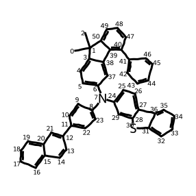 CC1(C)c2ccc(N(c3ccc(-c4ccc5ccccc5c4)cc3)c3ccc4c(c3)sc3ccccc34)cc2-c2c(-c3ccccc3)cccc21